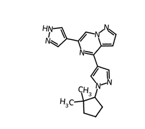 CC1(C)CCCC1n1cc(-c2nc(-c3cn[nH]c3)cn3nccc23)cn1